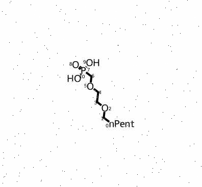 CCCCCCOCCOCP(=O)(O)O